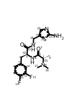 C[C@@H](C(=O)N[C@@H](Cc1ccc(F)c(F)c1)C(=O)NCc1cnc(N)s1)N(C)C